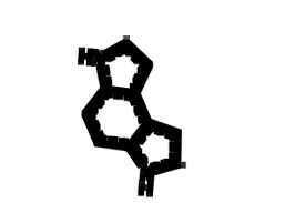 [c]1cc2c(ccc3[nH][c]cc32)[nH]1